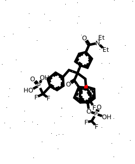 CCN(CC)C(=O)c1ccc(C(Cc2ccc(OP(=O)(O)C(F)F)cc2)(Cc2ccc(C(F)(F)P(=O)(O)O)cc2)C(=O)c2ccc(F)cc2)cc1